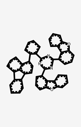 c1ccc(-c2ccc3c4c(cccc24)-c2ccccc2-3)c(-c2nc(-c3cccc4oc5ccccc5c34)nc(-c3cccc4oc5ccccc5c34)n2)c1